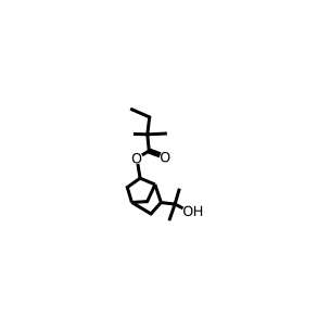 CCC(C)(C)C(=O)OC1CC2CC1C(C(C)(C)O)C2